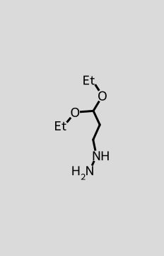 CCOC(CCNN)OCC